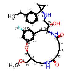 CCc1cccc(C2(NC[C@@H](O)[C@@H]3Cc4cc(F)cc(c4)OCC(COC)CCNC(=O)CCCC(=O)N3)CC2)c1